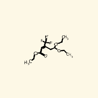 CCOC(=O)/C=C(\CC(OCC)OCC)C(F)(F)F